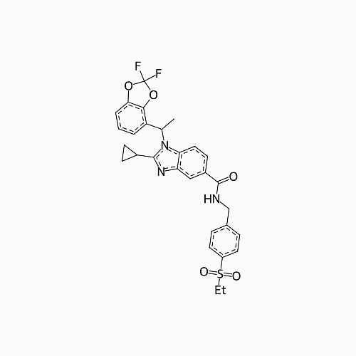 CCS(=O)(=O)c1ccc(CNC(=O)c2ccc3c(c2)nc(C2CC2)n3C(C)c2cccc3c2OC(F)(F)O3)cc1